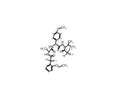 CCOc1ccccc1C(F)(F)C(=O)NC(C)C(=O)NC(C(=O)NC(C(=O)C(F)(F)F)C(C)C)c1ccc(OC)cc1